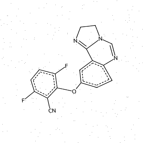 N#Cc1c(F)ccc(F)c1Oc1ccc2c(c1)C1=NCCN1C=N2